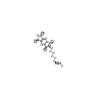 NCCCCCCN1C(=O)c2cc3c(cc2C1=O)C(=O)CC3=O